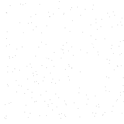 CCCCc1nccc2nc(-c3ccc(CN)cc3)c(-c3ccccc3)cc12.Cl